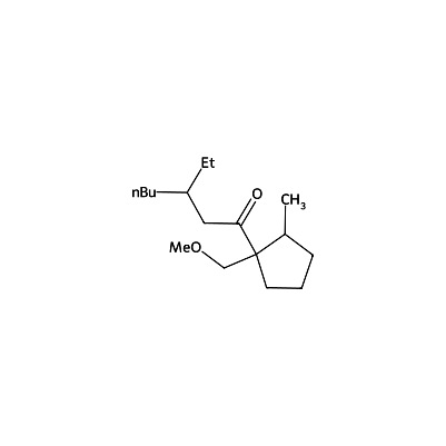 CCCCC(CC)CC(=O)C1(COC)CCCC1C